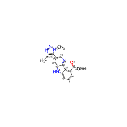 COC(=O)c1cccc2[nH]c3cc(-c4c(C)nnn4C)cnc3c12